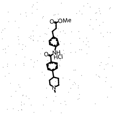 COC(=O)CCc1ccc(NC(=O)c2ccc(C3CCN(C)CC3)cc2)cc1.Cl